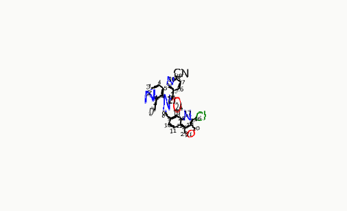 Cc1ncccc1N(Cc1ccc2c3c(c(Cl)nc2c1)COC3)C(=O)c1ccc(C#N)nc1